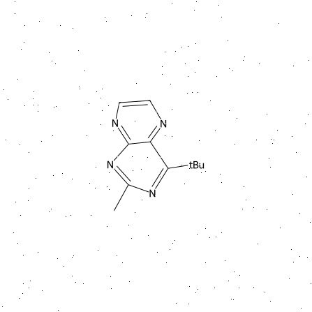 Cc1nc(C(C)(C)C)c2nccnc2n1